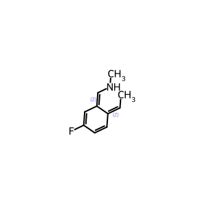 C/C=c1/ccc(F)c/c1=C/NC